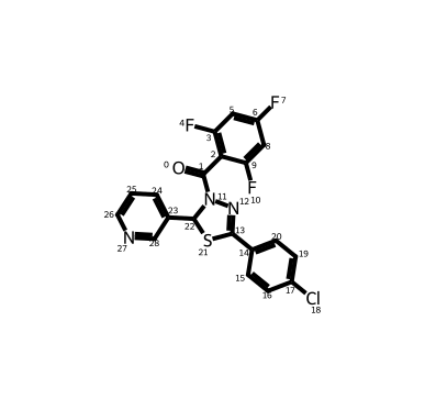 O=C(c1c(F)cc(F)cc1F)N1N=C(c2ccc(Cl)cc2)SC1c1cccnc1